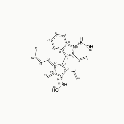 C=Cc1c(-c2c(C=C)n(BO)c3ccccc23)/c(=C/C=C\C)c(=C)n1BO